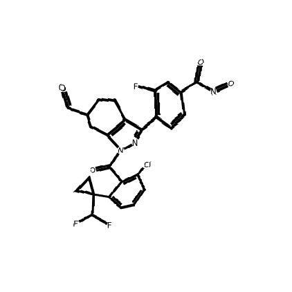 O=CC1CCc2c(-c3ccc(C(=O)N=O)cc3F)nn(C(=O)c3c(Cl)cccc3C3(C(F)F)CC3)c2C1